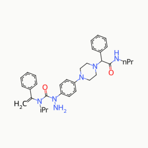 C=C(c1ccccc1)N(C(=O)N(N)c1ccc(N2CCN(C(C(=O)NCCC)c3ccccc3)CC2)cc1)C(C)C